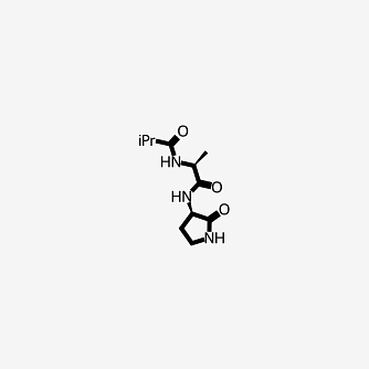 CC(C)C(=O)N[C@@H](C)C(=O)N[C@@H]1CCNC1=O